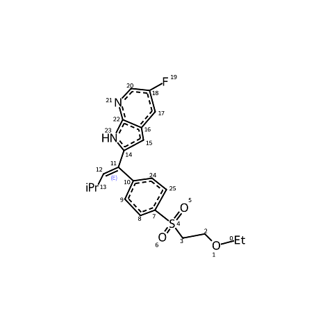 CCOCCS(=O)(=O)c1ccc(/C(=C\C(C)C)c2cc3cc(F)cnc3[nH]2)cc1